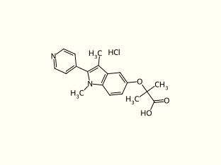 Cc1c(-c2ccncc2)n(C)c2ccc(OC(C)(C)C(=O)O)cc12.Cl